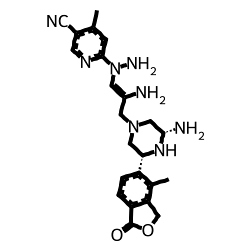 Cc1cc(N(N)/C=C(\N)CN2C[C@@H](c3ccc4c(c3C)COC4=O)N[C@@H](N)C2)ncc1C#N